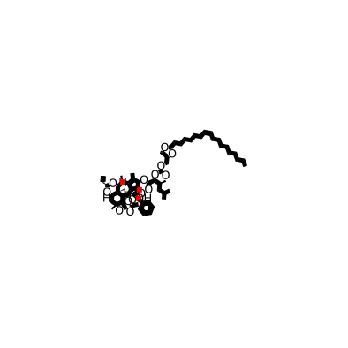 C=C[C@H]1O[C@H]2C[C@@]3(C)OC[C@@]3(OC(C)=O)[C@H]3[C@H](OC(=O)c4ccccc4)[C@]4(C(C)(C)O)C[C@H](OC(=O)[C@H](OC(=O)OCC5COC(CCCCCC/C=C\CCCCCCCCC)O5)[C@@H](C)CC(C)C)C(C)=C4[C@H](C)[C@H](O1)[C@]23C